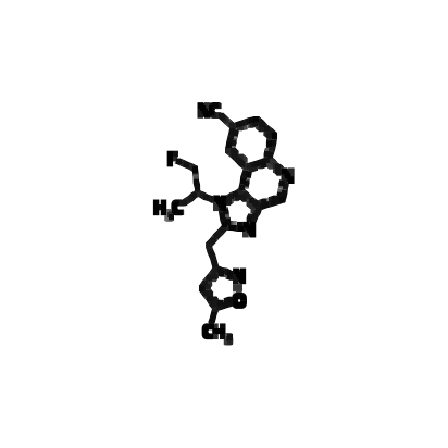 Cc1cc(Cc2nc3cnc4ccc(C#N)cc4c3n2C(C)CF)no1